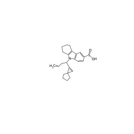 C=CCC(C1=CC12CCCC2)n1c2c(c3cc(S(=O)O)ccc31)CCCC2